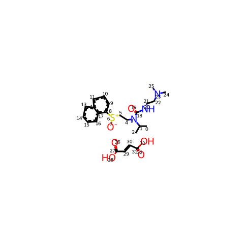 CC(C)N(CC[S+]([O-])c1cccc2ccccc12)C(=O)NCCN(C)C.O=C(O)C=CC(=O)O